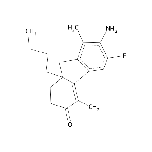 CCCCC12CCC(=O)C(C)=C1c1cc(F)c(N)c(C)c1C2